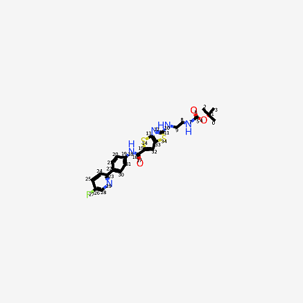 CC(C)(C)OC(=O)NCCNc1nc2sc(C(=O)Nc3ccc(-c4ccc(F)cn4)cc3)cc2s1